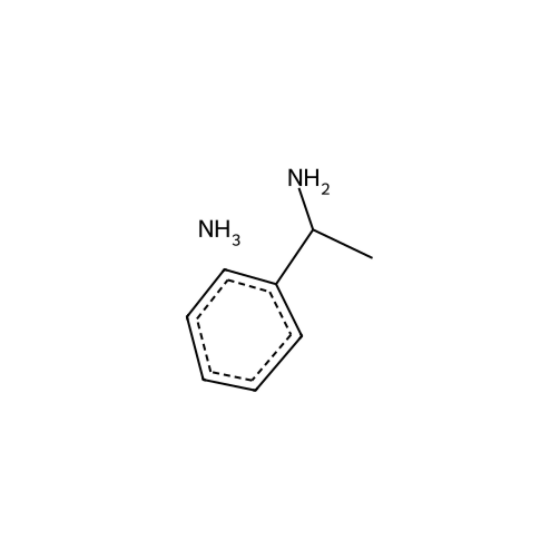 CC(N)c1ccccc1.N